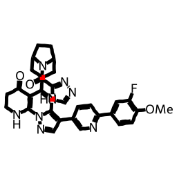 COc1ccc(-c2ccc(-c3cnn4c5c(c(C6CC7CCC(C6)N7C(=O)c6nnc[nH]6)nc34)C(=O)CCN5)cn2)cc1F